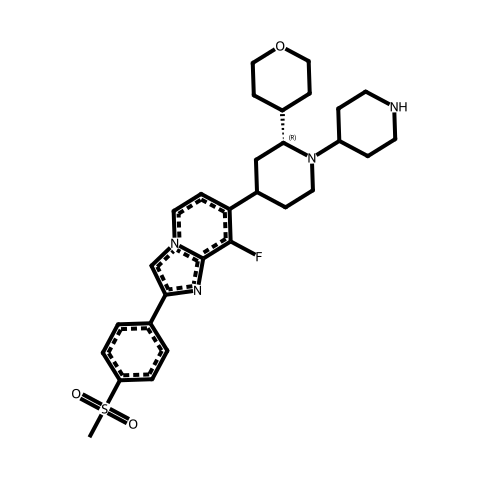 CS(=O)(=O)c1ccc(-c2cn3ccc(C4CCN(C5CCNCC5)[C@@H](C5CCOCC5)C4)c(F)c3n2)cc1